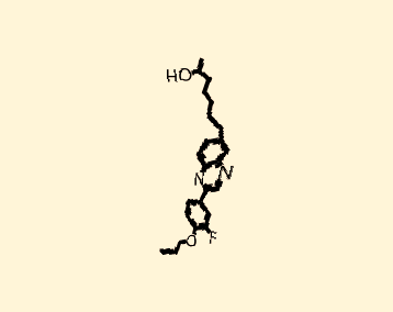 C=CCOc1ccc(-c2cnc3cc(/C=C/CCCC(C)O)ccc3n2)cc1F